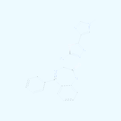 Cn1cnc(-c2nnc(N[C@H]3N=C(c4ccccc4)c4ccccc4NC3=O)o2)c1